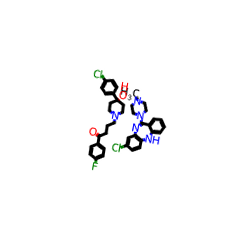 CN1CCN(C2=Nc3cc(Cl)ccc3Nc3ccccc32)CC1.O=C(CCCN1CCC(O)(c2ccc(Cl)cc2)CC1)c1ccc(F)cc1